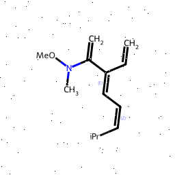 C=C/C(=C\C=C/C(C)C)C(=C)N(C)OC